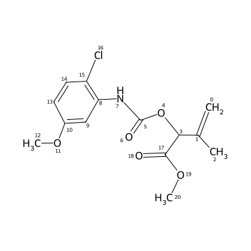 C=C(C)C(OC(=O)Nc1cc(OC)ccc1Cl)C(=O)OC